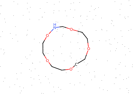 C1COCCOCNOCCOCCO1